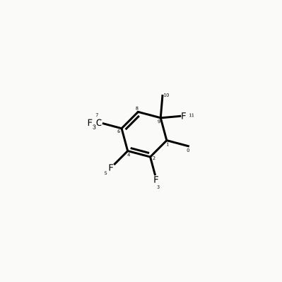 CC1C(F)=C(F)C(C(F)(F)F)=CC1(C)F